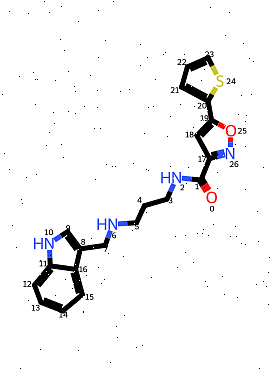 O=C(NCCCNCc1c[nH]c2ccccc12)c1cc(-c2cccs2)on1